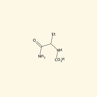 CCC(NC(=O)O)C(N)=O